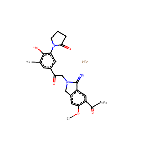 Br.CCOc1cc2c(cc1C(=O)NC)C(=N)N(CC(=O)c1cc(N3CCCC3=O)c(O)c(C(C)(C)C)c1)C2